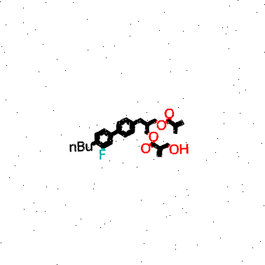 C=C(C)C(=O)OCC(COC(=O)C(=C)CO)Cc1ccc(-c2ccc(CCCC)c(F)c2)cc1